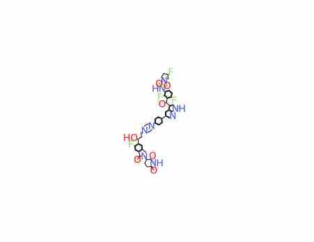 O=C1CC[C@H](N2Cc3cc([C@@H](O)CCN4CCN(c5ccc(-c6cnc7[nH]cc(C(=O)c8c(F)ccc(NS(=O)(=O)N9CC[C@@H](F)C9)c8F)c7c6)cc5)CC4)c(F)cc3C2=O)C(=O)N1